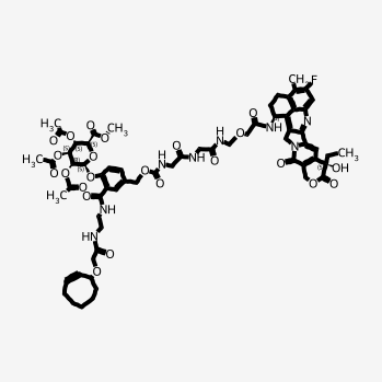 CC[C@@]1(O)C(=O)OCc2c1cc1n(c2=O)Cc2c-1nc1cc(F)c(C)c3c1c2[C@@H](NC(=O)COCNC(=O)CNC(=O)CNC(=O)OCc1ccc(O[C@@H]2O[C@H](C(=O)OC)[C@@H](OC(C)=O)[C@H](OC(C)=O)[C@H]2OC(C)=O)c(C(=O)NCCNC(=O)COC2C#CCCCCC2)c1)CC3